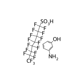 Nc1cccc(O)c1.O=S(=O)(O)C(F)(F)C(F)(F)C(F)(F)C(F)(F)C(F)(F)C(F)(F)C(F)(F)C(F)(F)F